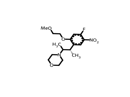 COCCOc1cc(F)c([N+](=O)[O-])cc1[C@H](C)C(C)N1CCOCC1